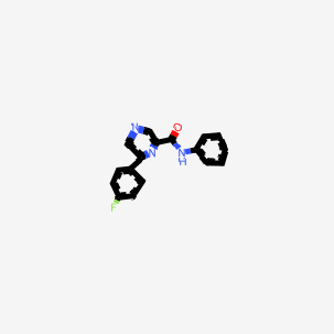 O=C(Nc1ccccc1)c1cncc(-c2ccc(F)cc2)n1